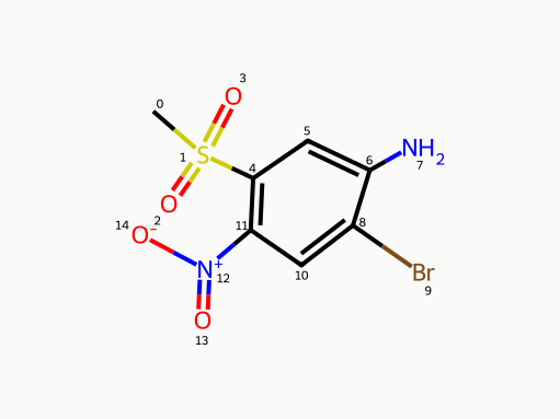 CS(=O)(=O)c1cc(N)c(Br)cc1[N+](=O)[O-]